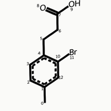 Cc1ccc(CCC(=O)O)c(Br)c1